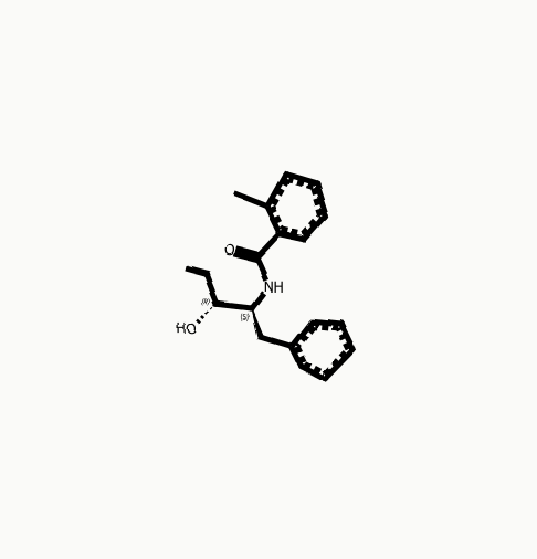 CC[C@@H](O)[C@H](Cc1ccccc1)NC(=O)c1ccccc1C